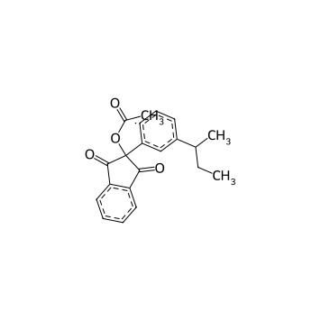 CCC(C)c1cc[c]c(C2(OC(C)=O)C(=O)c3ccccc3C2=O)c1